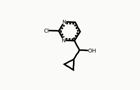 OC(c1ccnc(Cl)n1)C1CC1